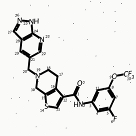 O=C(Nc1cc(F)cc(OC(F)(F)F)c1)c1csc2c1CCN(Cc1cnc3[nH]ncc3c1)C2